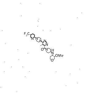 COC1COCCC1NC1CCN(C(=O)c2ncnc(N3CCN(c4ccc(C(F)(F)F)cn4)CC3)c2C)CC1